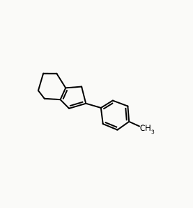 Cc1ccc(C2=CC3=C(CCCC3)C2)cc1